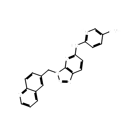 COc1ccc(Nc2ccc3nnn(Cc4ccc5ncccc5c4)c3n2)nc1